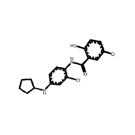 O=C(Nc1ccc(NC2CCCC2)cc1Cl)c1cc(Cl)ccc1O